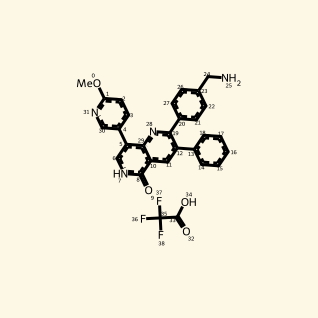 COc1ccc(-c2c[nH]c(=O)c3cc(-c4ccccc4)c(-c4ccc(CN)cc4)nc23)cn1.O=C(O)C(F)(F)F